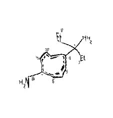 CCC(N)(CC)c1ccc(N)cc1